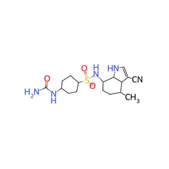 CC1CCC(NS(=O)(=O)C2CCC(NC(N)=O)CC2)C2NC=C(C#N)C12